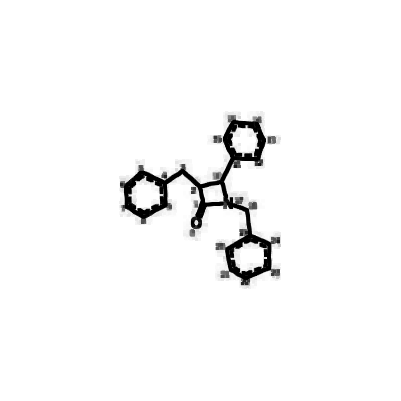 O=C1C(Cc2ccccc2)C(c2ccccc2)N1Cc1ccccc1